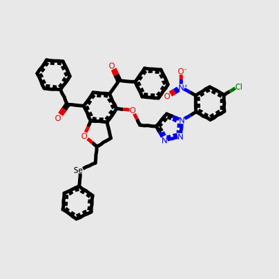 O=C(c1ccccc1)c1cc(C(=O)c2ccccc2)c2c(c1OCc1cn(-c3ccc(Cl)cc3[N+](=O)[O-])nn1)CC(C[Se]c1ccccc1)O2